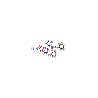 NC(=O)COCC(Cc1ccccc1)NC(=O)[C@@H]1CCCN1C(=O)OCc1ccccc1